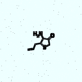 C=CCC1SCC(=O)C1N